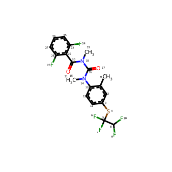 Cc1cc(SC(F)(F)C(F)F)ccc1N(C)C(=O)N(C)C(=O)c1c(F)cccc1F